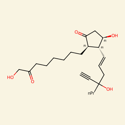 C#CC(O)(CC=C[C@H]1[C@H](O)CC(=O)[C@@H]1CCCCCCC(=O)CO)CCC